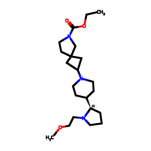 CCOC(=O)N1CCC2(CC(N3CCC([C@@H]4CCCN4CCOC)CC3)C2)C1